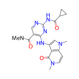 CNC(=O)c1cnc(NC(=O)C2CC2)nc1Nc1cn(C)c2ccn(C)c(=O)c12